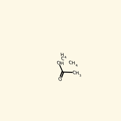 C.C.CC(=O)O